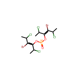 CC(Cl)/C(Br)=C(\O[PH](=O)O/C(=C(/Br)C(C)Cl)C(C)Cl)C(C)Cl